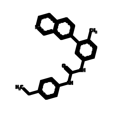 CCc1ccc(NC(=O)Nc2ccc(C)c(-c3ccc4ccncc4c3)c2)cc1